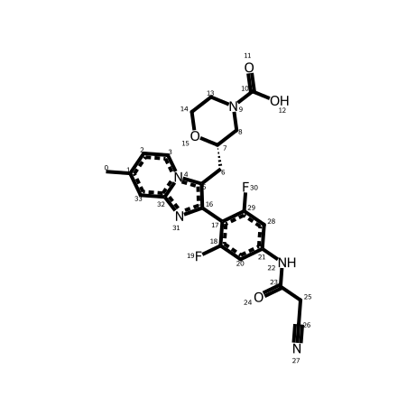 Cc1ccn2c(C[C@H]3CN(C(=O)O)CCO3)c(-c3c(F)cc(NC(=O)CC#N)cc3F)nc2c1